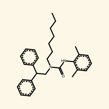 CCCCCCCN(CC(c1ccccc1)c1ccccc1)C(=O)Nc1c(C)cccc1C